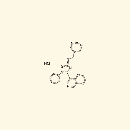 Cl.c1ccc(-n2sc(=NCc3cccnc3)nc2-c2cccc3ccccc23)cc1